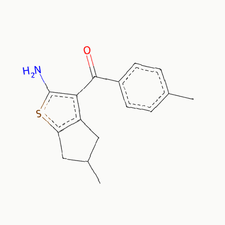 Cc1ccc(C(=O)c2c(N)sc3c2CC(C)C3)cc1